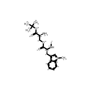 Cn1cc(C[C@H](NI)C(=O)OC[C@H](N)C(=O)OC(C)(C)C)c2ccccc21